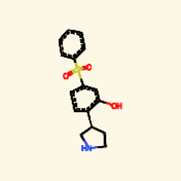 O=S(=O)(c1ccccc1)c1ccc(C2CCNC2)c(O)c1